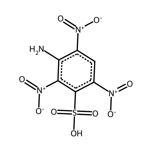 Nc1c([N+](=O)[O-])cc([N+](=O)[O-])c(S(=O)(=O)O)c1[N+](=O)[O-]